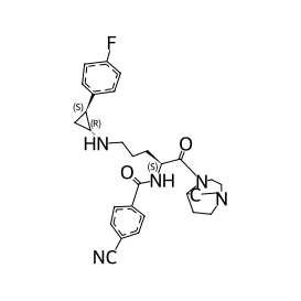 N#Cc1ccc(C(=O)N[C@@H](CCCN[C@@H]2C[C@H]2c2ccc(F)cc2)C(=O)N2CCN3CCC2CC3)cc1